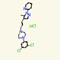 Cc1c(C=CCN2CCN(c3cc(Cl)cc(Cl)c3)CC2)cnn1-c1ccccn1.Cl